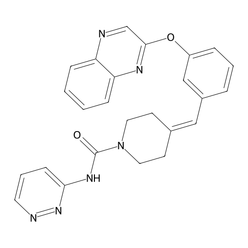 O=C(Nc1cccnn1)N1CCC(=Cc2cccc(Oc3cnc4ccccc4n3)c2)CC1